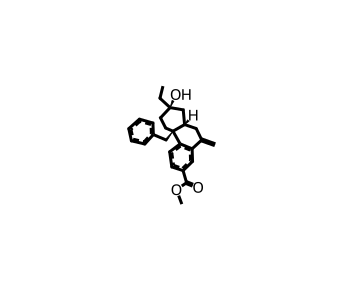 C=C1C[C@H]2C[C@@](O)(CC)CC[C@@]2(Cc2ccccc2)c2ccc(C(=O)OC)cc21